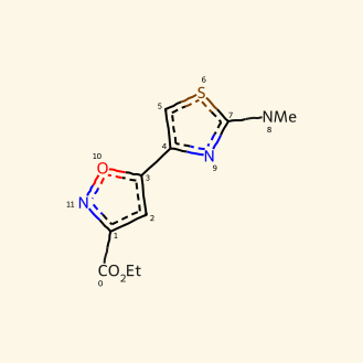 CCOC(=O)c1cc(-c2csc(NC)n2)on1